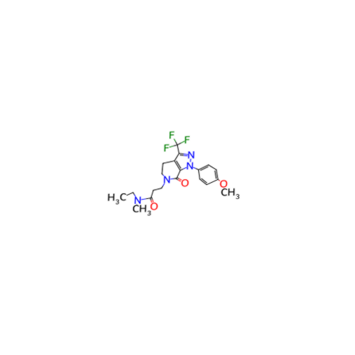 CCN(C)C(=O)CCN1CCc2c(C(F)(F)F)nn(-c3ccc(OC)cc3)c2C1=O